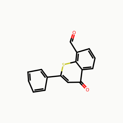 O=Cc1cccc2c(=O)cc(-c3ccccc3)sc12